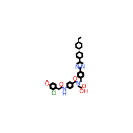 CC[C@H]1CC[C@H](C2CC=C(c3cnc(-c4ccc(CN(CC(=O)O)C(=O)c5ccc(NC(=O)Cc6ccc(OC)cc6Cl)cc5)cc4)nc3)CC2)CC1